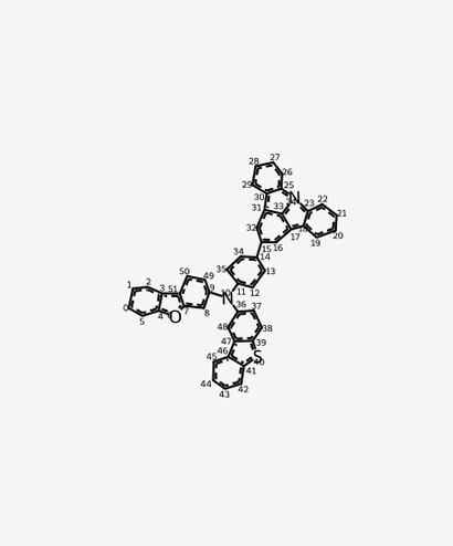 c1ccc2c(c1)oc1cc(N(c3ccc(-c4cc5c6ccccc6n6c7ccccc7c(c4)c56)cc3)c3ccc4sc5ccccc5c4c3)ccc12